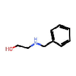 O[CH]CNCc1ccccc1